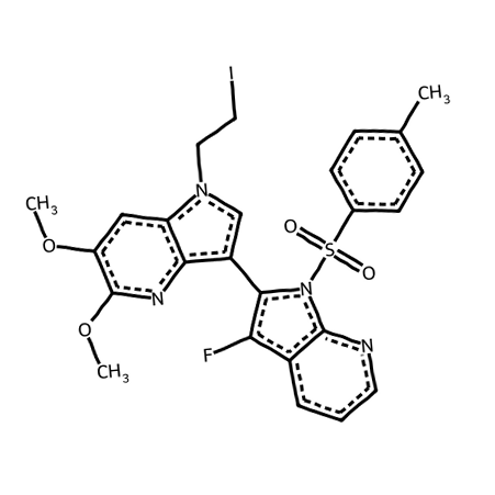 COc1cc2c(nc1OC)c(-c1c(F)c3cccnc3n1S(=O)(=O)c1ccc(C)cc1)cn2CCI